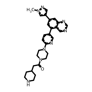 Cn1cc(-c2cc(-c3ccc(N4CCN(C(=O)CC5CCNCC5)CC4)nc3)c3cncnc3c2)cn1